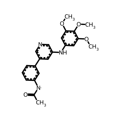 COc1cc(Nc2cncc(-c3cccc([N]C(C)=O)c3)c2)cc(OC)c1OC